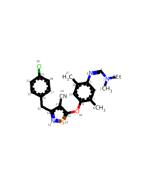 CCN(C)/C=N\c1cc(C)c(Oc2snc(Cc3ccc(Cl)cc3)c2C#N)cc1C